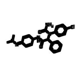 CN(C)N=C1C=CC(NC(=O)C(c2ccccc2)N(C(N)=O)c2ccc(Cl)cc2)C=C1